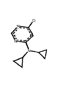 Clc1cc(N(C2CC2)C2CC2)ncn1